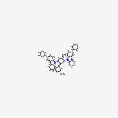 N#Cc1cccc(-c2cc(-n3c4ccccc4c4cc(-c5ccccc5)ccc43)c(C#N)cc2-n2c3ccccc3c3cc(-c4ccccc4)ccc32)c1